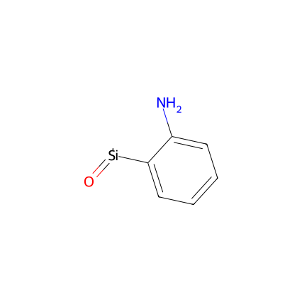 Nc1ccccc1[Si]=O